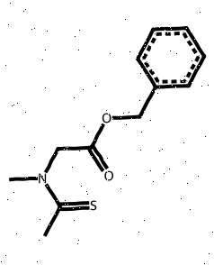 CC(=S)N(C)CC(=O)OCc1ccccc1